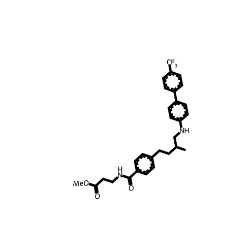 COC(=O)CCNC(=O)c1ccc(CCC(C)CNc2ccc(-c3ccc(C(F)(F)F)cc3)cc2)cc1